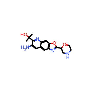 CC(C)(O)c1nc2cc3oc(C4CNCCO4)nc3cc2cc1N